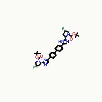 CC(C)(C)OC(=O)N1C[C@@H](F)C[C@H]1c1ncc(-c2ccc(-c3ccc(-c4cnc([C@@H]5C[C@H](F)CN5C(=O)OC(C)(C)C)[nH]4)cc3)cc2)[nH]1